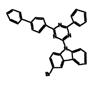 Brc1ccc2c(c1)c1ccccc1n2-c1nc(-c2ccccc2)nc(-c2ccc(-c3ccccc3)cc2)n1